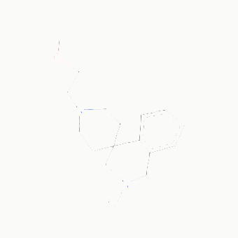 CCOCCN1CCC2(CC1)CN(C(C)=O)Cc1ccccc12